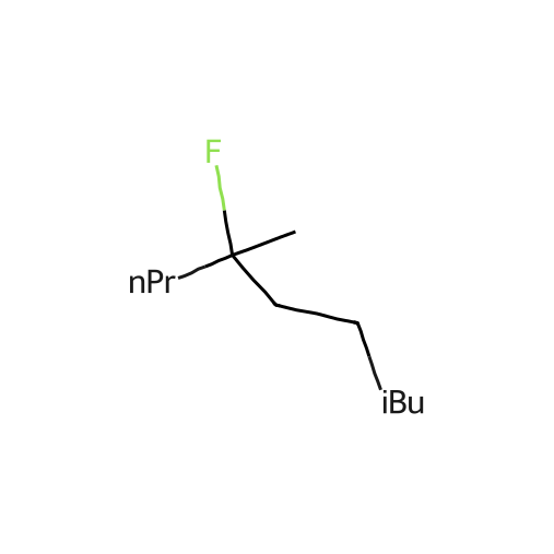 CCCC(C)(F)CCC(C)CC